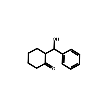 O=C1CCCCC1C(O)c1ccccc1